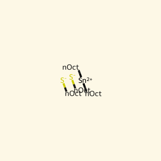 CCCCCCCC[S-].CCCCCCCC[S-].CCCCCCC[CH2][Sn+2][CH2]CCCCCCC